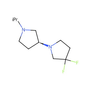 CC(C)N1CC[C@H](N2CCC(F)(F)C2)C1